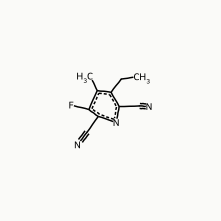 CCc1c(C#N)nc(C#N)c(F)c1C